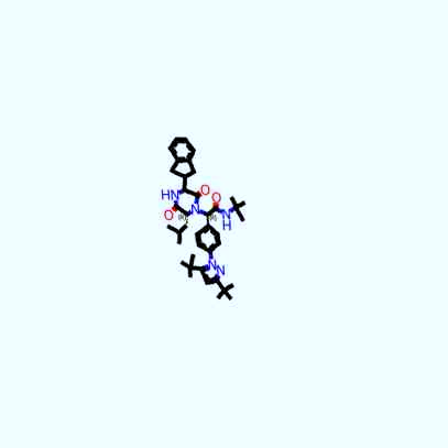 CC(C)C[C@@H]1C(=O)NC(C2Cc3ccccc3C2)C(=O)N1[C@@H](C(=O)NC(C)(C)C)c1ccc(-n2nc(C(C)(C)C)cc2C(C)(C)C)cc1